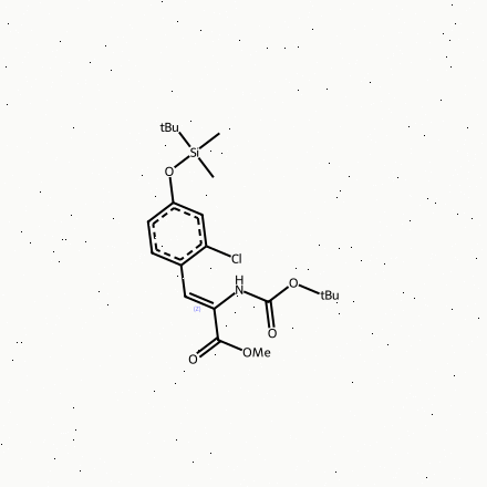 COC(=O)/C(=C/c1ccc(O[Si](C)(C)C(C)(C)C)cc1Cl)NC(=O)OC(C)(C)C